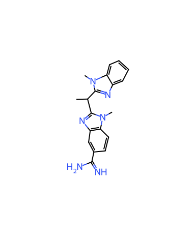 CC(c1nc2ccccc2n1C)c1nc2cc(C(=N)N)ccc2n1C